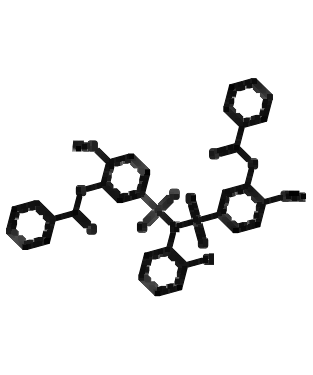 COc1ccc(S(=O)(=O)N(c2ccccc2Cl)S(=O)(=O)c2ccc(OC)c(OC(=O)c3ccccc3)c2)cc1OC(=O)c1ccccc1